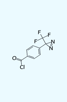 O=C(Cl)c1ccc(C2(C(F)(F)F)N=N2)cc1